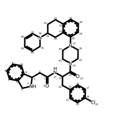 O=C(CC1NCc2ccccc21)NC(Cc1ccc(Cl)cc1)C(=O)N1CCN(c2cccc3c2CC(N2C=CC=CC2)CC3)CC1